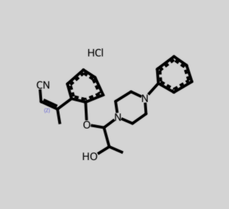 C/C(=C/C#N)c1ccccc1OC(C(C)O)N1CCN(c2ccccc2)CC1.Cl